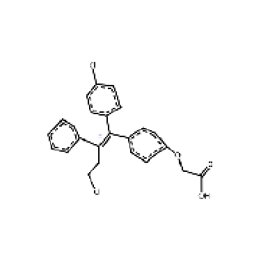 O=C(O)COc1ccc(/C(=C(\CCCl)c2ccccc2)c2ccc(Cl)cc2)cc1